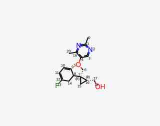 Cc1ncc(OC[C@@]2(C3C=CC=C(F)C3)C[C@H]2CO)c(C)n1